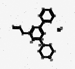 C=CC[n+]1cc(-c2ccccc2)cc(N2CCOCC2)n1.[Br-]